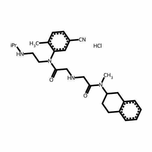 Cc1ccc(C#N)cc1N(CCNC(C)C)C(=O)CNCC(=O)N(C)C1CCc2ccccc2C1.Cl